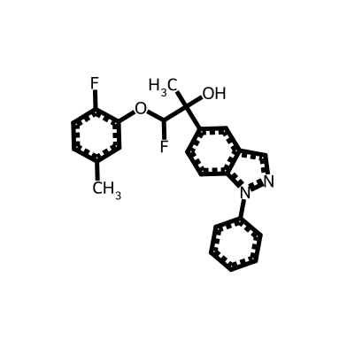 Cc1ccc(F)c(OC(F)C(C)(O)c2ccc3c(cnn3-c3ccccc3)c2)c1